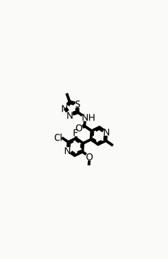 COc1cnc(Cl)c(F)c1-c1cc(C)ncc1C(=O)Nc1nnc(C)s1